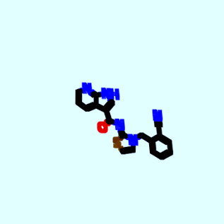 N#Cc1ccccc1Cn1ccs/c1=N\C(=O)c1c[nH]c2ncccc12